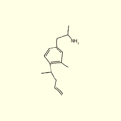 C=CCC(C)c1ccc(CC(C)N)cc1C